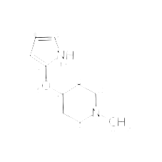 CN1CCC(Oc2ccc[nH]2)CC1